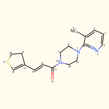 N#Cc1cccnc1N1CCN(C(=O)/C=C/C2=CSCC2)CC1